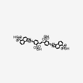 O=S(=O)(O)c1cc(-n2n3c4ccc5c(S(=O)(=O)O)cccc5c4n23)ccc1C=Cc1ccc(-n2n3c4ccc5c(S(=O)(=O)O)cccc5c4n23)cc1S(=O)(=O)O